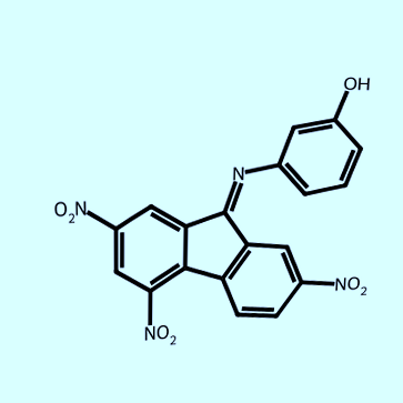 O=[N+]([O-])c1ccc2c(c1)C(=Nc1cccc(O)c1)c1cc([N+](=O)[O-])cc([N+](=O)[O-])c1-2